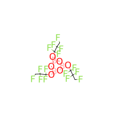 FCC(F)(F)C(F)(F)OB1OB(OC(F)(F)C(F)(F)CF)OB(OC(F)(F)C(F)(F)CF)O1